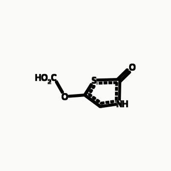 O=C(O)Oc1c[nH]c(=O)s1